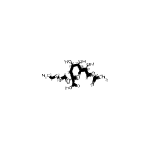 CCSSCO[C@]1(C(=O)O)C[C@@H](O)[C@@H](O)C([C@H](O)COC(C)=O)O1